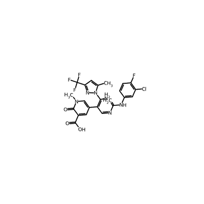 C=C(/N=C\C(=C(/N)n1nc(C(F)(F)F)cc1C)c1cc(C(=O)O)c(=O)n(C)c1)Nc1ccc(F)c(Cl)c1